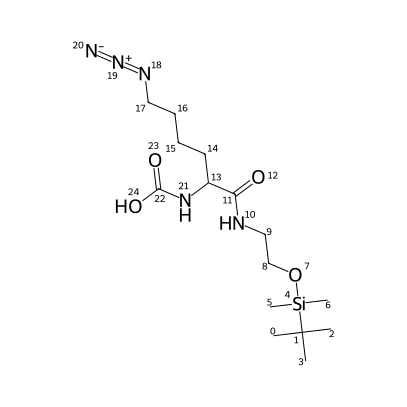 CC(C)(C)[Si](C)(C)OCCNC(=O)C(CCCCN=[N+]=[N-])NC(=O)O